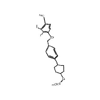 CCCCCCCCOC1CCC(c2ccc(COc3ccc(C#N)c(F)c3F)cc2)CC1